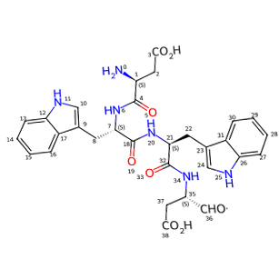 N[C@@H](CC(=O)O)C(=O)N[C@@H](Cc1c[nH]c2ccccc12)C(=O)N[C@@H](Cc1c[nH]c2ccccc12)C(=O)N[C@H]([C]=O)CC(=O)O